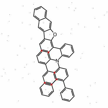 c1ccc(-c2ccc(N(c3ccccc3-c3ccccc3)c3ccccc3-c3cccc4c3oc3cc5ccccc5cc34)cc2-c2ccccc2)cc1